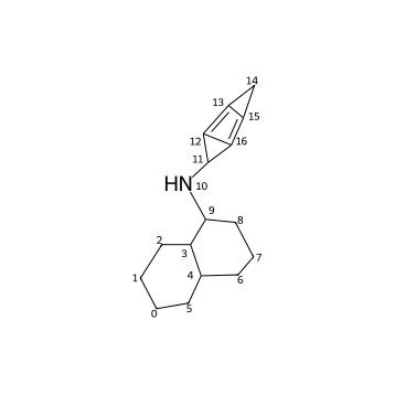 C1CCC2C(C1)CCCC2NC1C2=C3CC3=C21